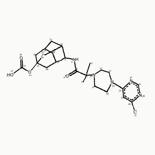 CC(C)(C(=O)NC1C2CC3CC1CC(OC(=O)O)(C3)C2)N1CCN(c2cc(Cl)ncn2)CC1